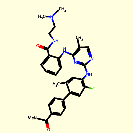 CNC(=O)c1ccc(-c2cc(F)c(Nc3ncc(C)c(Nc4ccccc4C(=O)NCCN(C)C)n3)cc2C)cc1